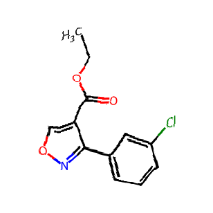 CCOC(=O)c1conc1-c1cccc(Cl)c1